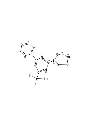 FC(F)(F)c1cc(-c2ccccc2)nc(N2CCNCC2)n1